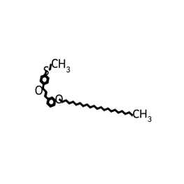 CCCCCCCCCCCCCCCCCCCCCCOc1cccc(/C=C/C(=O)c2ccc(SCCC)cc2)c1